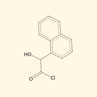 O=C(Cl)C(O)c1cccc2ccccc12